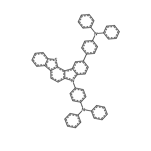 c1ccc(N(c2ccccc2)c2ccc(-c3ccc4c(c3)c3c5sc6ccccc6c5ccc3n4-c3ccc(N(c4ccccc4)c4ccccc4)cc3)cc2)cc1